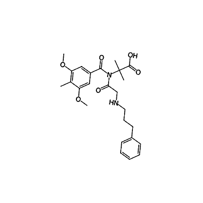 COc1cc(C(=O)N(C(=O)CNCCCc2ccccc2)C(C)(C)C(=O)O)cc(OC)c1C